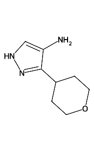 Nc1c[nH]nc1C1CCOCC1